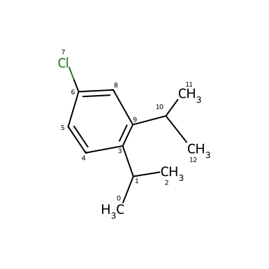 CC(C)c1ccc(Cl)cc1C(C)C